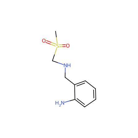 CS(=O)(=O)CNCc1ccccc1N